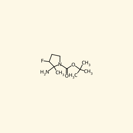 CC(C)(C)OC(=O)N1CCC(F)C1(C)N